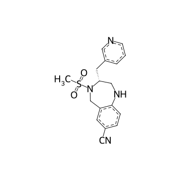 CS(=O)(=O)N1Cc2cc(C#N)ccc2NC[C@H]1Cc1cccnc1